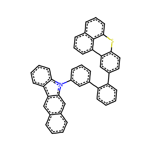 c1cc(-c2ccccc2-c2ccc3c(c2)-c2cccc4cccc(c24)S3)cc(-n2c3ccccc3c3cc4ccccc4cc32)c1